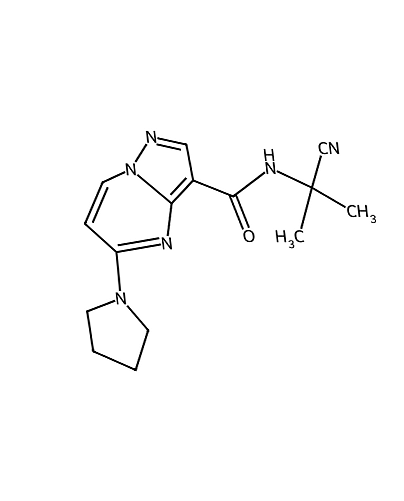 CC(C)(C#N)NC(=O)c1cnn2ccc(N3CCCC3)nc12